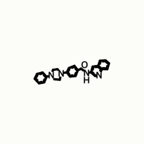 O=C(Nc1cnc2ccccc2c1)c1ccc(N2CCN(c3ccccc3)CC2)cc1